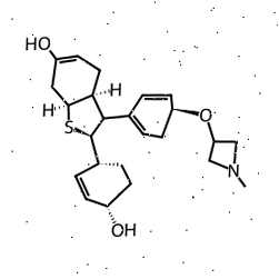 CN1CC(O[C@@H]2C=CC(C3[C@@H]4CC=C(O)C[C@@H]4S[C@@H]3[C@H]3C=C[C@@H](O)CC3)=CC2)C1